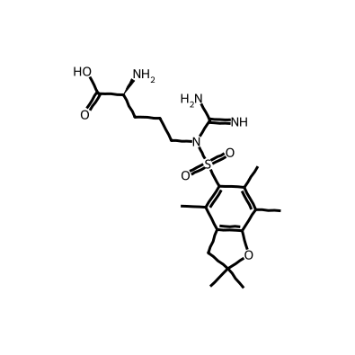 Cc1c(C)c(S(=O)(=O)N(CCC[C@H](N)C(=O)O)C(=N)N)c(C)c2c1OC(C)(C)C2